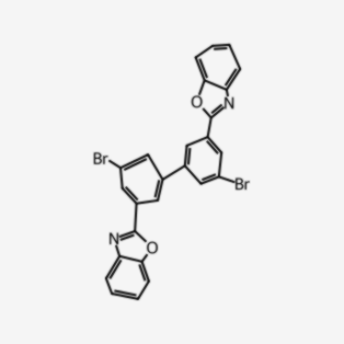 Brc1cc(-c2cc(Br)cc(-c3nc4ccccc4o3)c2)cc(-c2nc3ccccc3o2)c1